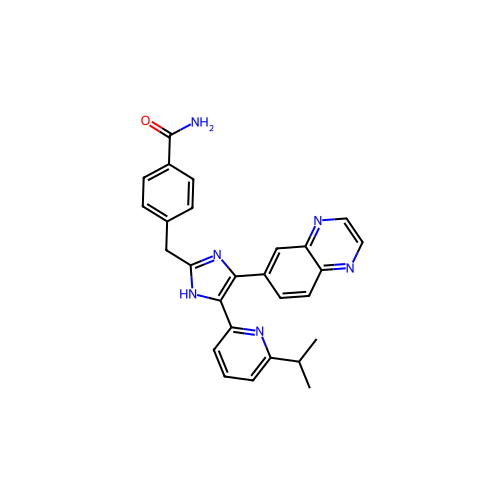 CC(C)c1cccc(-c2[nH]c(Cc3ccc(C(N)=O)cc3)nc2-c2ccc3nccnc3c2)n1